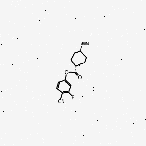 C=C[C@H]1CC[C@H](C(=O)Oc2ccc(C#N)c(F)c2)CC1